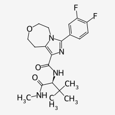 CNC(=O)[C@@H](NC(=O)c1nc(-c2ccc(F)c(F)c2)n2c1CCOCC2)C(C)(C)C